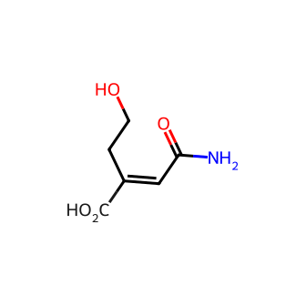 NC(=O)C=C(CCO)C(=O)O